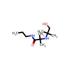 CCCNC(=O)C(C)(C)NC(C)(C)CO